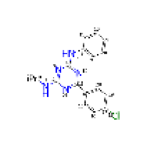 CC(C)Nc1nc(Nc2ccccc2)nc(-c2ccc(Cl)cc2)n1